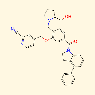 N#Cc1cc(COc2cc(C(=O)N3CCc4c(-c5ccccc5)cccc43)ccc2CN2CCCC2CO)ccn1